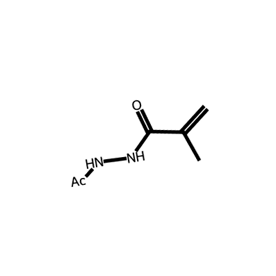 C=C(C)C(=O)NNC(C)=O